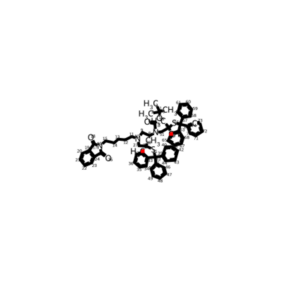 CC(C)(C)OC(=O)N(CCN(CCCCCN1C(=O)c2ccccc2C1=O)CC(C)(C)SC(c1ccccc1)(c1ccccc1)c1ccccc1)CC(C)(C)SC(c1ccccc1)(c1ccccc1)c1ccccc1